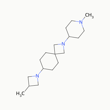 CC1CN(C2CCC3(CC2)CN(C2CCN(C)CC2)C3)C1